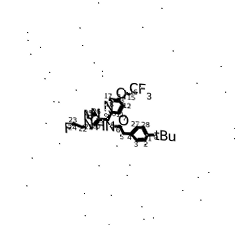 CC(C)(C)c1ccc(CC(=O)N[C@@H](c2ccc(OCC(F)(F)F)cn2)c2cn(CCF)nn2)cc1